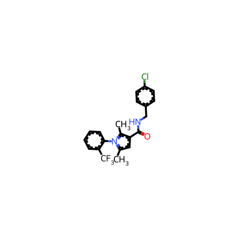 Cc1cc(C(=O)NCc2ccc(Cl)cc2)c(C)n1-c1ccccc1C(F)(F)F